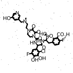 CN(CCN1CCN(C(=O)NC(C(=O)NC2Cc3ccc(F)c(C(=O)O)c3OB2O)c2cc(F)c(O)c(O)c2Cl)C(=O)C1=O)Cc1cncc(O)c1